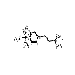 CC(C)CCc1ccc(C(C)(C)C)c(Br)c1